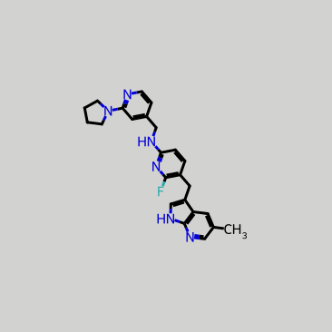 Cc1cnc2[nH]cc(Cc3ccc(NCc4ccnc(N5CCCC5)c4)nc3F)c2c1